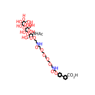 CC(=O)N[C@H]1[C@H](OCCCNC(=O)CCOCCOCCOCCOCCNC(=O)COc2ccc(-c3cccc(C(=O)O)c3)cc2)O[C@H](CO)[C@@H](O[C@@H]2O[C@H](CO)[C@H](O)[C@H](O[C@H]3O[C@H](CO)[C@H](O)[C@H](O)[C@H]3O)[C@H]2O)[C@@H]1O